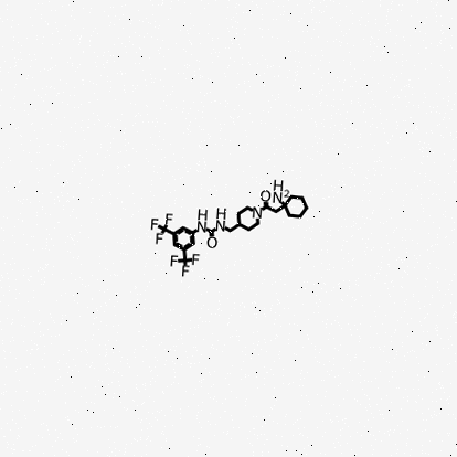 NC1(CC(=O)N2CCC(CNC(=O)Nc3cc(C(F)(F)F)cc(C(F)(F)F)c3)CC2)CCCCC1